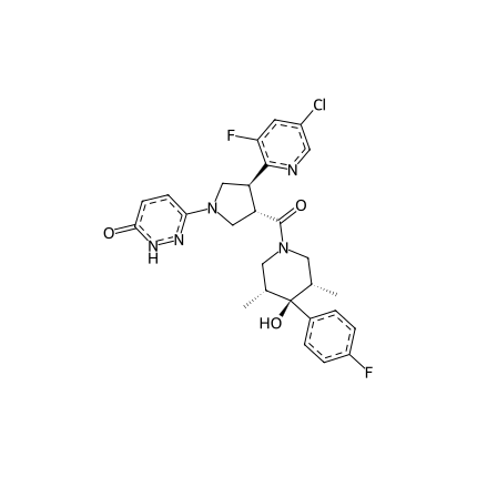 C[C@@H]1CN(C(=O)[C@@H]2CN(c3ccc(=O)[nH]n3)C[C@H]2c2ncc(Cl)cc2F)C[C@H](C)[C@]1(O)c1ccc(F)cc1